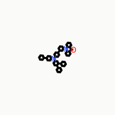 O=c1c2ccccc2n(-c2cccc(-c3ccc(N(c4ccc(-c5ccccc5)cc4)c4ccc(-c5ccccc5)c(-c5ccccc5)c4)cc3)c2)c2ccccc12